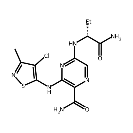 CC[C@@H](Nc1cnc(C(N)=O)c(Nc2snc(C)c2Cl)n1)C(N)=O